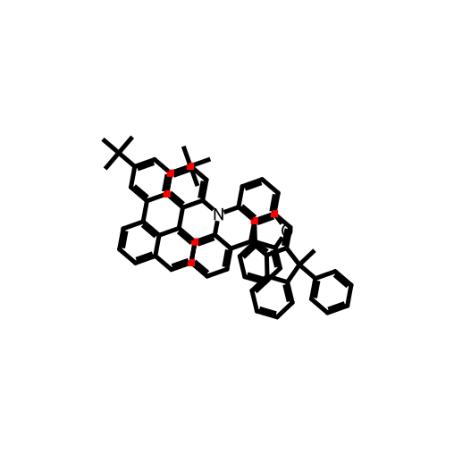 CC(C)(C)c1cc(-c2cccc3cccc(-c4ccccc4N(c4ccccc4-c4cccc5c4-c4ccccc4C5(C)c4ccccc4)c4cccc5oc6ccccc6c45)c23)cc(C(C)(C)C)c1